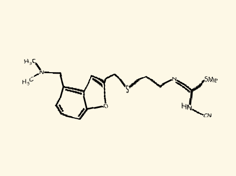 CSC(=NCCSCc1cc2c(CN(C)C)cccc2o1)NC#N